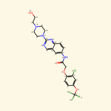 O=C(COc1ccc(OC(F)(F)F)cc1Cl)Nc1ccc2nc(N3CCN(CCO)CC3)ncc2c1